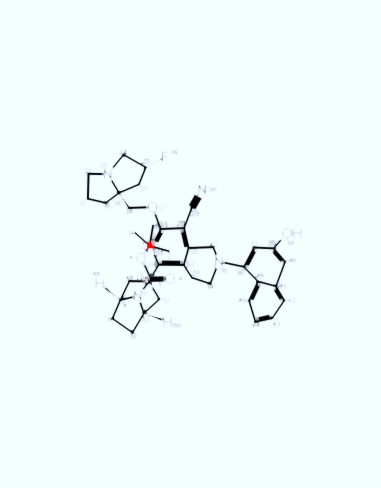 CC(C)(C)OC(=O)N1[C@@H]2CC[C@H]1CN(c1nc(OC[C@@]34CCCN3C[C@H](F)C4)c(C#N)c3c1CCN(c1cc(O)cc4ccccc14)C3)C2